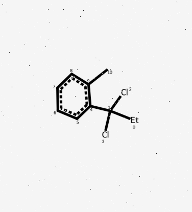 [CH2]CC(Cl)(Cl)c1ccccc1[CH2]